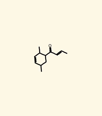 CC=CC(=O)C1CC(C)C=CC1C